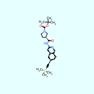 CC(C)(C)OC(=O)N1CC[C@H](C(=O)Nc2cc3cc(C#CS(C)(C)C)ccc3cn2)C1